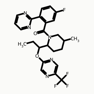 CCC(Oc1cnc(C(F)(F)F)cn1)C1CCC(C)CN1C(=O)c1cc(F)ccc1-c1ncccn1